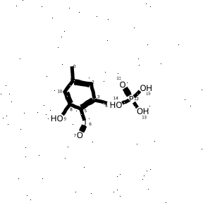 Cc1cc(C)c(I=O)c(O)c1.O=P(O)(O)O